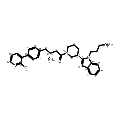 COCCCn1c([C@@H]2CCCN(C(=O)C[C@H](N)Cc3ccc(-c4cccnc4Cl)cc3)C2)nc2ccccc21